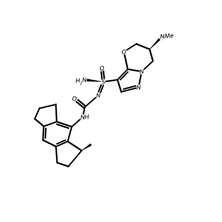 CN[C@@H]1COc2c([S@@](N)(=O)=NC(=O)Nc3c4c(cc5c3[C@@H](C)CC5)CCC4)cnn2C1